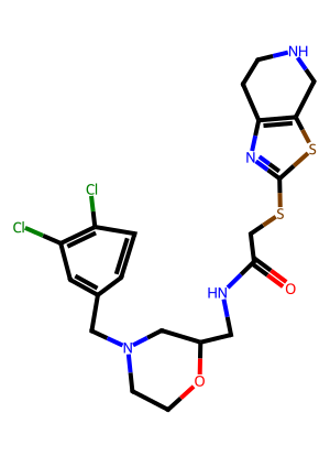 O=C(CSc1nc2c(s1)CNCC2)NCC1CN(Cc2ccc(Cl)c(Cl)c2)CCO1